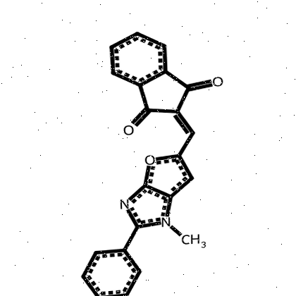 Cn1c(-c2ccccc2)nc2oc(C=C3C(=O)c4ccccc4C3=O)cc21